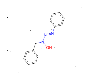 ON(Cc1ccccc1)N=Nc1ccccc1